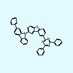 c1ccc(-c2ccc3c4ccccc4n(-c4ccc5sc6ccc(-c7nc(-c8ccccc8)nc(-c8ccccc8)n7)cc6c5c4)c3c2)cc1